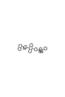 c1ccc(-c2nnc(-c3ccc(-c4c5ccccc5c(-c5ccc(-c6cccc7ccccc67)nc5)c5ccccc45)cc3)o2)cc1